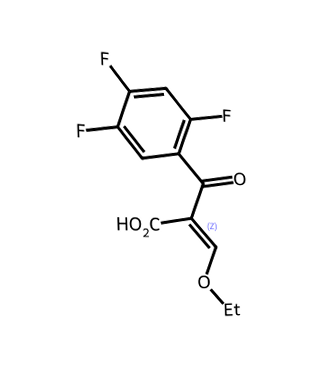 CCO/C=C(\C(=O)O)C(=O)c1cc(F)c(F)cc1F